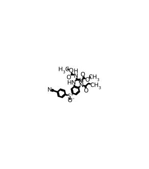 CCC(=O)Nc1ccc([S+]([O-])c2ccc(C#N)cc2)cc1NC(=NC(=O)OC)NC(=O)OC